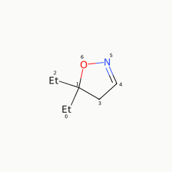 CCC1(CC)CC=NO1